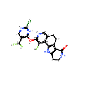 O=C1NCCc2[nH]c3c(c21)CCc1cnc(Oc2nc(Cl)ncc2C(F)F)c(F)c1-3